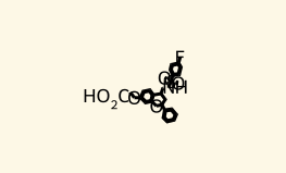 O=C(O)COc1ccc2c(c1)OC(c1ccccc1)CC2CNS(=O)(=O)c1ccc(F)cc1